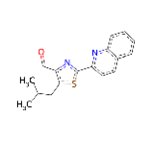 CC(C)Cc1sc(-c2ccc3ccccc3n2)nc1C=O